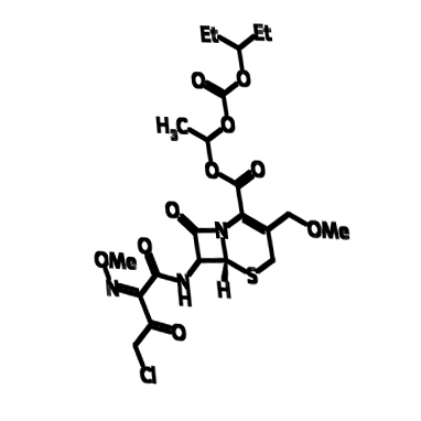 CCC(CC)OC(=O)OC(C)OC(=O)C1=C(COC)CS[C@@H]2C(NC(=O)/C(=N\OC)C(=O)CCl)C(=O)N12